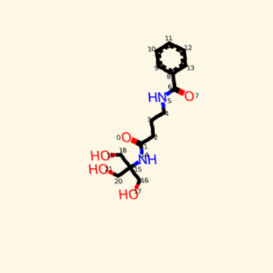 O=C(CCCNC(=O)c1ccccc1)NC(CO)(CO)CO